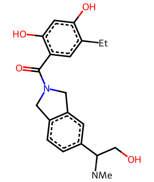 CCc1cc(C(=O)N2Cc3ccc(C(CO)NC)cc3C2)c(O)cc1O